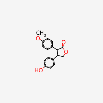 COc1ccc(C2C(=O)OCC2c2ccc(O)cc2)cc1